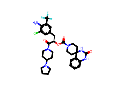 Nc1c(Cl)cc(C[C@@H](OC(=O)N2CCC3(CC2)NC(=O)Nc2ccccc23)C(=O)N2CCC(N3CCCC3)CC2)cc1C(F)(F)F